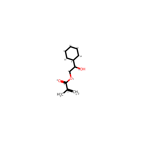 C=C(C)C(=O)OCC(O)C1CCCCC1